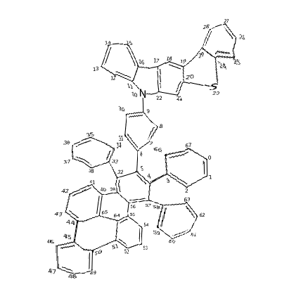 c1ccc(-c2c(-c3ccc(-n4c5ccccc5c5cc6c(cc54)sc4ccccc46)cc3)c(-c3ccccc3)c3c4cccc5c6ccccc6c6cccc(c3c2-c2ccccc2)c6c54)cc1